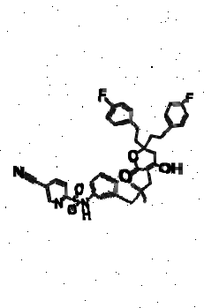 CC(C)(CC1=C(O)CC(CCc2ccc(F)cc2)(CCc2ccc(F)cc2)OC1=O)Cc1cccc(NS(=O)(=O)c2ccc(C#N)cn2)c1